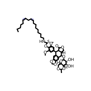 CCCCC/C=C\C/C=C\CCCCCCCCNC(=S)Oc1c(OC)cc(C2c3cc4c(cc3[C@@H](O[C@@H]3O[C@@H]5COC(C)O[C@H]5[C@H](O)[C@H]3O)[C@H]3COC(=O)C23)OCO4)cc1OC